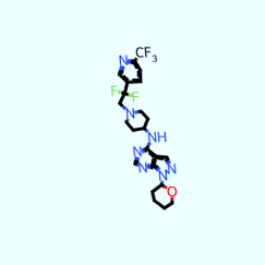 FC(F)(F)c1ccc(C(F)(F)CN2CCC(Nc3ncnc4c3cnn4C3CCCCO3)CC2)cn1